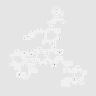 CC(F)=CN1CCN(c2nc(OCC3CCCN3C)nc3c2CCN(c2cccc4cccc(Br)c24)C3)CC1CC#N